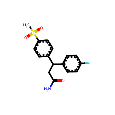 CS(=O)(=O)c1ccc(C(CC(N)=O)c2ccc(F)cc2)cc1